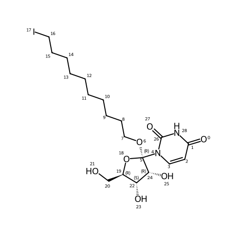 O=c1ccn([C@]2(OCCCCCCCCCCI)O[C@H](CO)[C@@H](O)[C@H]2O)c(=O)[nH]1